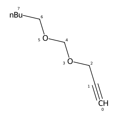 C#CCOCOCCCCC